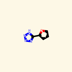 c1coc(-c2nnn[nH]2)c1